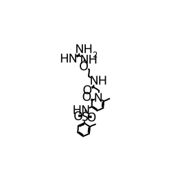 Cc1ccccc1S(=O)(=O)Nc1ccc(C)n(CC(=O)NCCONC(=N)N)c1=O